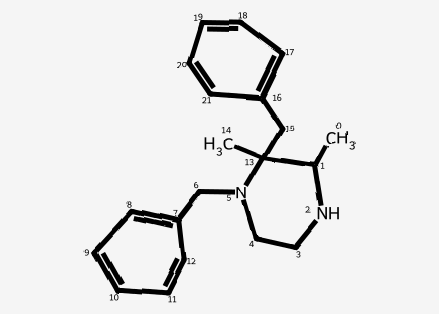 CC1NCCN(Cc2ccccc2)C1(C)Cc1ccccc1